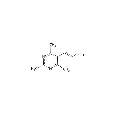 C/C=C/c1c(C)nc(C)nc1C